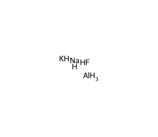 F.[AlH3].[KH].[NaH]